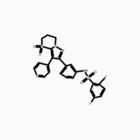 O=S1(=O)CCCn2nc(-c3cccc(NS(=O)(=O)c4cc(F)ccc4F)c3)c(-c3ccncc3)c21